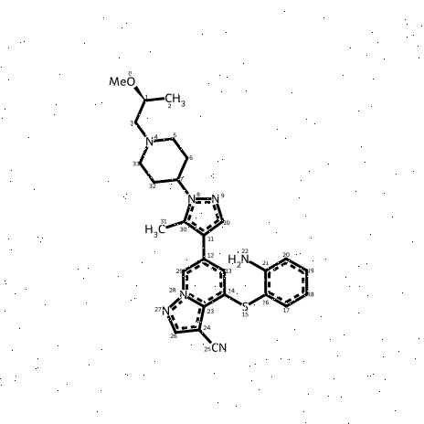 CO[C@@H](C)CN1CCC(n2ncc(-c3cc(Sc4ccccc4N)c4c(C#N)cnn4c3)c2C)CC1